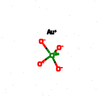 [Au+].[O-][Cl+3]([O-])([O-])[O-]